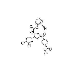 CN(C(=O)Oc1cccnc1C#N)[C@@H]1CN(C(=O)C2CCN(C(=O)C3(C)CC3)CC2)C[C@H]1C1C=C(Cl)C(Cl)=CC1